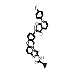 O=C(Nc1ccc(Oc2ccc3nc(NC(=O)C4CC4)cn3n2)c(F)c1)c1cccn(-c2ccc(F)cc2)c1=O